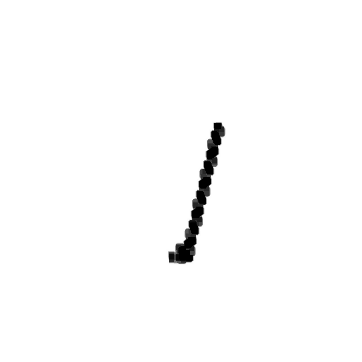 COCCOCCOCCOCCOCCOCCOCCOCCOP(C)(=O)O